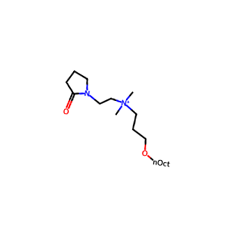 CCCCCCCCOCCC[N+](C)(C)CCN1CCCC1=O